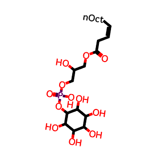 CCCCCCCC/C=C\CC(=O)OCC(O)COP(=O)(O)OC1C(O)C(O)C(O)C(O)C1O